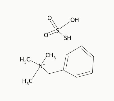 C[N+](C)(C)Cc1ccccc1.O=S(=O)(O)S